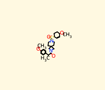 COc1ccc(C(C)C(=O)N2CC3(CCN([S+]([O-])C4C=CC(OC)CC4)CC3)C2)cc1